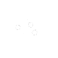 Nc1ncc(-c2ccc(C(=O)O)cc2)cc1OCc1cccc(F)c1C(F)(F)F